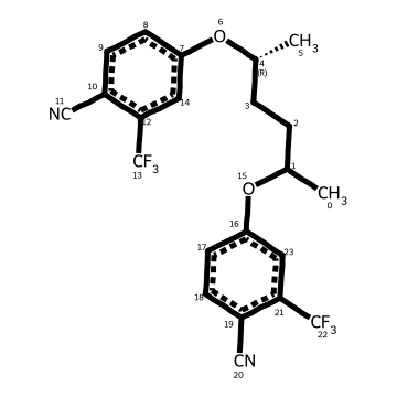 CC(CC[C@@H](C)Oc1ccc(C#N)c(C(F)(F)F)c1)Oc1ccc(C#N)c(C(F)(F)F)c1